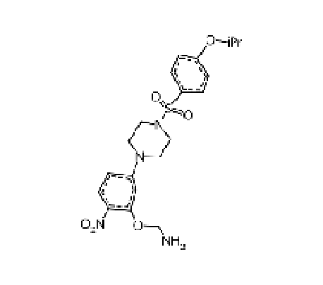 CC(C)Oc1ccc(S(=O)(=O)N2CCN(c3ccc([N+](=O)[O-])c(OCN)c3)CC2)cc1